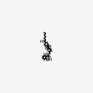 CCCCCCNC1CCN(S(=O)(=O)c2ccc(CNC(=O)c3ccccc3O)s2)CC1